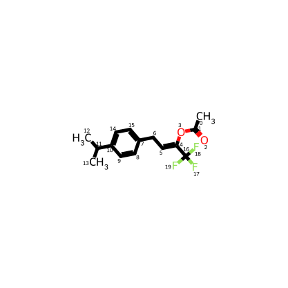 CC(=O)OC(=CCc1ccc(C(C)C)cc1)C(F)(F)F